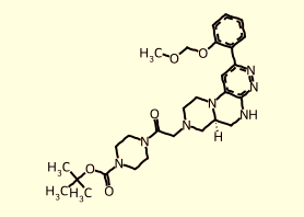 COCOc1ccccc1-c1cc2c(nn1)NC[C@H]1CN(CC(=O)N3CCN(C(=O)OC(C)(C)C)CC3)CCN21